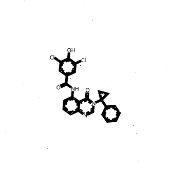 O=C(Nc1cccc2ncn(C3(c4ccccc4)CC3)c(=O)c12)c1cc(Cl)c(O)c(Cl)c1